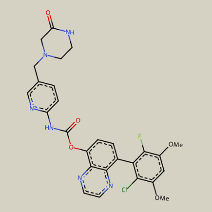 COc1cc(OC)c(Cl)c(-c2ccc(OC(=O)Nc3ccc(CN4CCNC(=O)C4)cn3)c3nccnc23)c1F